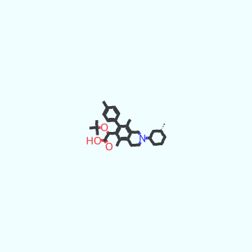 Cc1ccc(-c2c(C)c3c(c(C)c2C(OC(C)(C)C)C(=O)O)CCN(C2CCC[C@@H](C)C2)C3)cc1